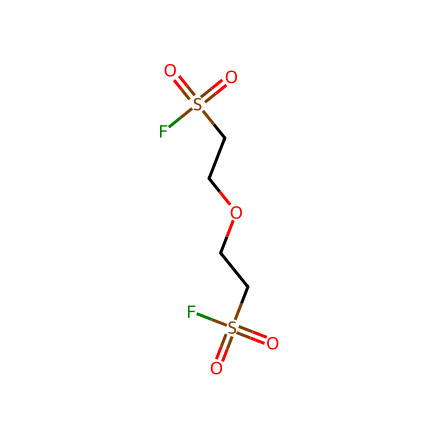 O=S(=O)(F)CCOCCS(=O)(=O)F